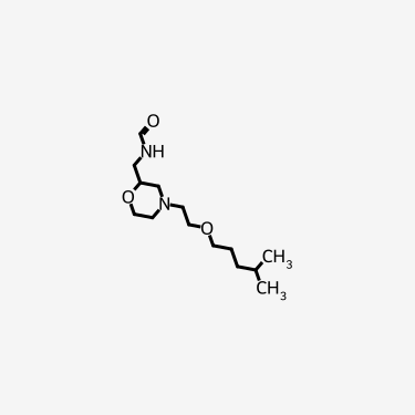 CC(C)CCCOCCN1CCOC(CNC=O)C1